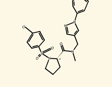 CN(Cc1cnn(-c2ccccc2)c1)C(=O)[C@@H]1CCCN1S(=O)(=O)c1ccc(Cl)cc1